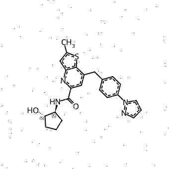 Cc1cc2nc(C(=O)N[C@H]3CCC[C@@H]3O)cc(Cc3ccc(-n4cccn4)cc3)c2s1